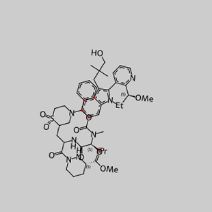 CCn1c(-c2cccnc2[C@H](C)OC)c(CC(C)(C)CO)c2cc(N3CCS(=O)(=O)C(CC(NC(=O)[C@H](C(C)C)N(C)C(=O)OCc4ccccc4)C(=O)N4CCC[C@@H](C(=O)OC)N4)C3)ccc21